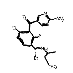 CC[C@@H](NC(C)CC=O)c1ccc(Cl)c(C(=O)c2ccc(N)nc2)c1F